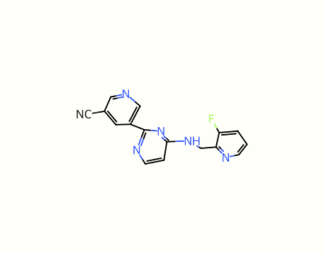 N#Cc1cncc(-c2nccc(NCc3ncccc3F)n2)c1